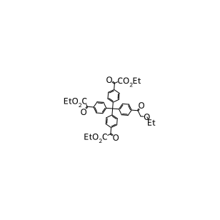 CCOCC(=O)c1ccc(C(c2ccc(C(=O)C(=O)OCC)cc2)(c2ccc(C(=O)C(=O)OCC)cc2)c2ccc(C(=O)C(=O)OCC)cc2)cc1